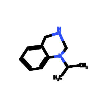 CC(C)N1CNCc2ccccc21